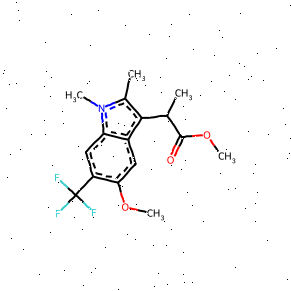 COC(=O)C(C)c1c(C)n(C)c2cc(C(F)(F)F)c(OC)cc12